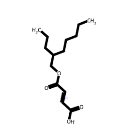 CCCCCC(CCC)COC(=O)/C=C/C(=O)O